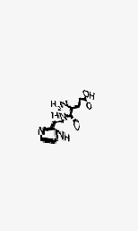 NC(CCC(=O)O)C(=O)NCCc1ncc[nH]1